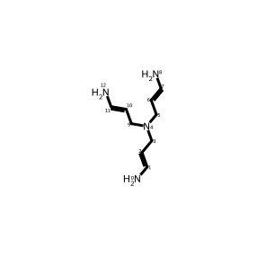 NC=CCN(CC=CN)CC=CN